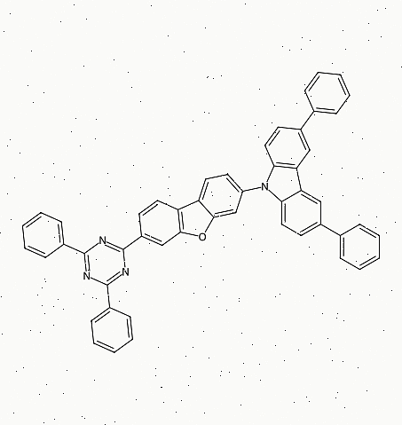 c1ccc(-c2ccc3c(c2)c2cc(-c4ccccc4)ccc2n3-c2ccc3c(c2)oc2cc(-c4nc(-c5ccccc5)nc(-c5ccccc5)n4)ccc23)cc1